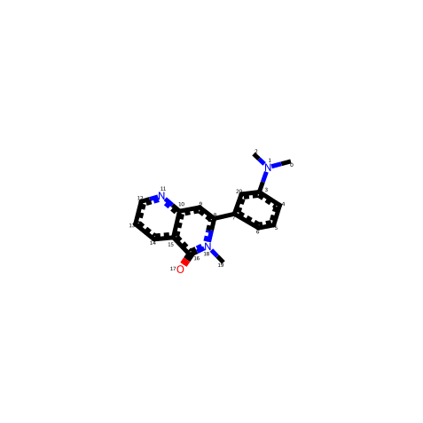 CN(C)c1cccc(-c2cc3ncccc3c(=O)n2C)c1